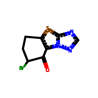 O=C1c2c(sc3ncnn23)CCC1Br